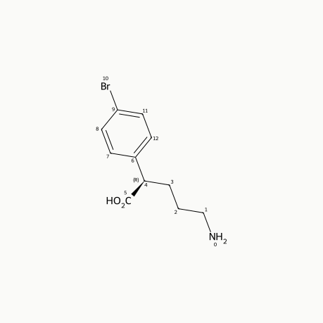 NCCC[C@@H](C(=O)O)c1ccc(Br)cc1